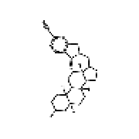 C[C@H]1CC[C@@H]2C3CC[C@@]4(C)C(CCC4[C@@H](C)N4Cc5cc(C#N)ccc5C4=O)[C@@H]3CC[C@@H]2C1